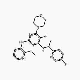 COc1ncccc1Nc1nc(NC(C)c2ccc(F)cn2)c(F)c(N2CCOCC2)n1